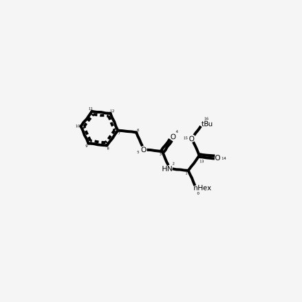 CCCCCCC(NC(=O)OCc1ccccc1)C(=O)OC(C)(C)C